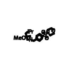 COC1(CC(C)C)CN(Cc2ccc(S(=O)(=O)N3CCOCC3)cc2)C1